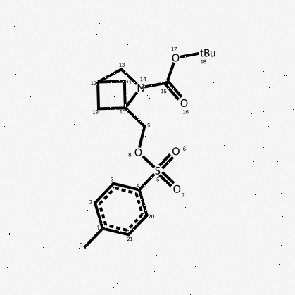 Cc1ccc(S(=O)(=O)OCC23CC(CN2C(=O)OC(C)(C)C)C3)cc1